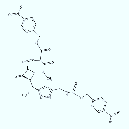 CC(C(=O)C(=[N+]=[N-])C(=O)OCc1ccc([N+](=O)[O-])cc1)[C@H]1NC(=O)[C@@H]1[C@@H](C)n1cc(CNC(=O)OCc2ccc([N+](=O)[O-])cc2)nn1